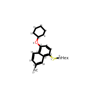 CCCCCCSc1ccc(OC2CCCCC2)c2ccc(C(C)=O)cc12